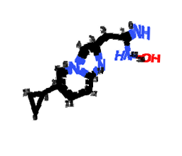 N=C(Cc1cn2cc(C3CC3)ccc2n1)NO